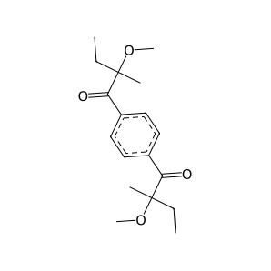 CCC(C)(OC)C(=O)c1ccc(C(=O)C(C)(CC)OC)cc1